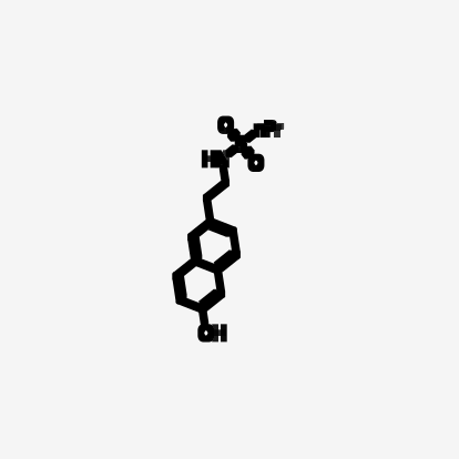 CCCS(=O)(=O)NCCc1ccc2cc(O)ccc2c1